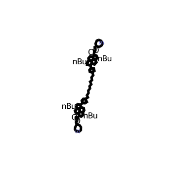 CCCCc1cc(C(=O)OCC2CC/C=C\CCC2)c2ccc3c(CCCC)cc(-c4ccc(CCCCCCCCCCCc5ccc(-c6cc(CCCC)c7ccc8c(C(=O)OCC9CC/C=C\CCC9)cc(CCCC)c9ccc6c7c98)cc5)cc4)c4ccc1c2c34